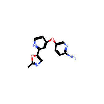 Cc1ncc(-c2cc(Oc3ccc(N)nc3)ccn2)o1